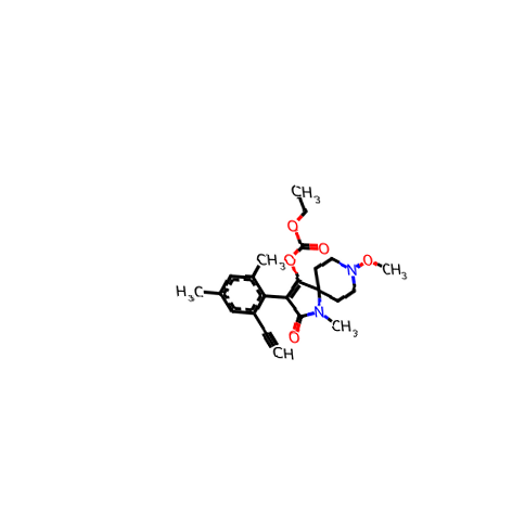 C#Cc1cc(C)cc(C)c1C1=C(OC(=O)OCC)C2(CCN(OC)CC2)N(C)C1=O